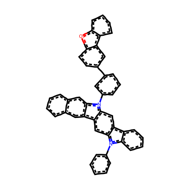 c1ccc(-n2c3ccccc3c3cc4c(cc32)c2cc3ccccc3cc2n4-c2cccc(-c3ccc4oc5ccccc5c4c3)c2)cc1